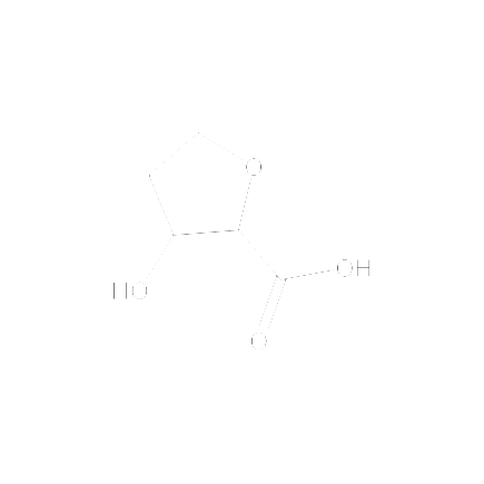 O=C(O)C1OCCC1O